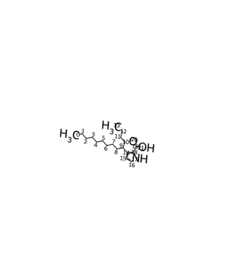 CCCCCCCCCC(CCCC)c1cc[nH]c1C(=O)O